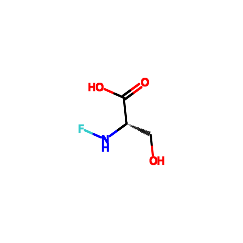 O=C(O)[C@H](CO)NF